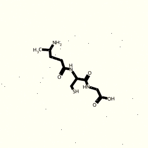 CC(N)CCC(=O)NC(CS)C(=O)NCC(=O)O